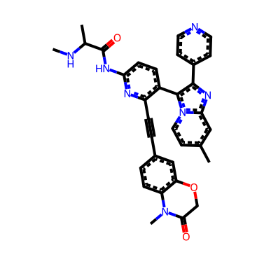 CNC(C)C(=O)Nc1ccc(-c2c(-c3ccncc3)nc3cc(C)ccn23)c(C#Cc2ccc3c(c2)OCC(=O)N3C)n1